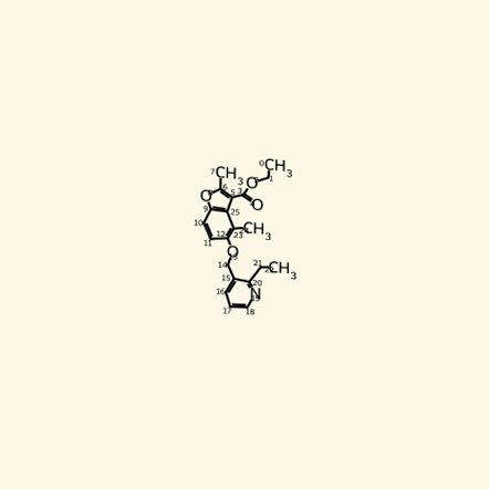 CCOC(=O)c1c(C)oc2ccc(OCc3cccnc3CC)c(C)c12